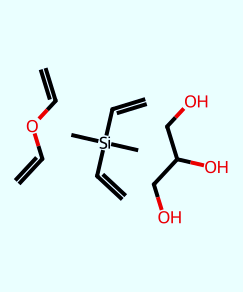 C=COC=C.C=C[Si](C)(C)C=C.OCC(O)CO